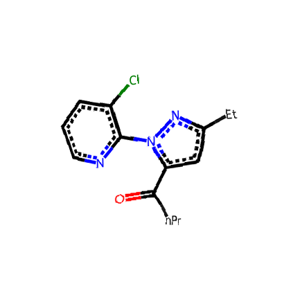 CCCC(=O)c1cc(CC)nn1-c1ncccc1Cl